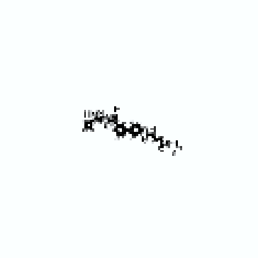 CC(C(=O)Nc1cc(C2CCC2)[nH]n1)c1cccc(-c2ccc(NC(=O)C=CCN(C)C)cc2)c1